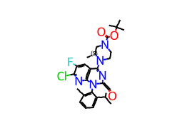 Cc1cccc(C(C)C)c1N1C(=C=O)N=C(N2CCN(C(=O)OC(C)(C)C)C[C@@H]2C)c2cc(F)c(Cl)nc21